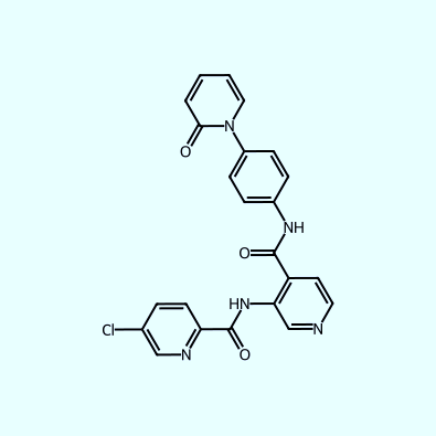 O=C(Nc1cnccc1C(=O)Nc1ccc(-n2ccccc2=O)cc1)c1ccc(Cl)cn1